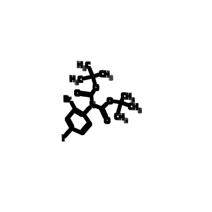 CC(C)(C)OC(=O)N(C(=O)OC(C)(C)C)c1ccc(I)cc1Br